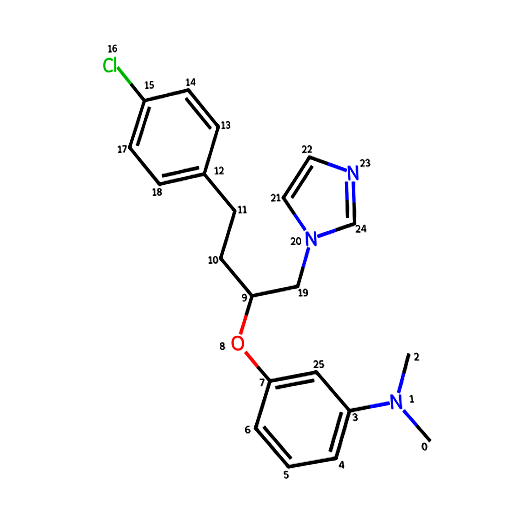 CN(C)c1cccc(OC(CCc2ccc(Cl)cc2)Cn2ccnc2)c1